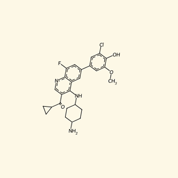 COc1cc(-c2cc(F)c3ncc(C(=O)C4CC4)c(NC4CCC(N)CC4)c3c2)cc(Cl)c1O